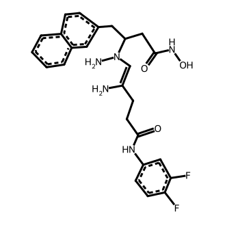 N/C(=C\N(N)C(CC(=O)NO)Cc1ccc2ccccc2c1)CCC(=O)Nc1ccc(F)c(F)c1